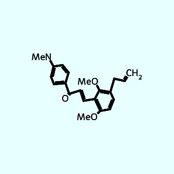 C=CCc1ccc(OC)c(C=CC(=O)c2ccc(NC)cc2)c1OC